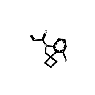 C=CC(=O)N1CC2(CCC2)c2c(F)cccc21